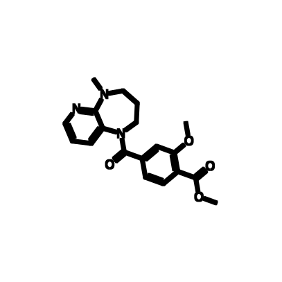 COC(=O)c1ccc(C(=O)N2CCCN(C)c3ncccc32)cc1OC